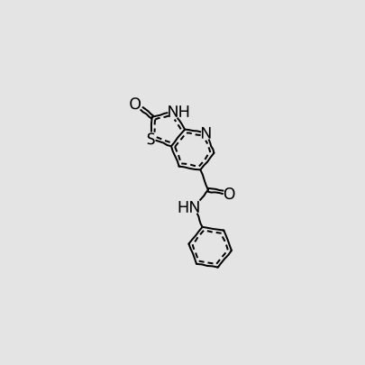 O=C(Nc1ccccc1)c1cnc2[nH]c(=O)sc2c1